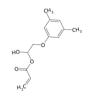 C=CC(=O)OC(O)COc1cc(C)cc(C)c1